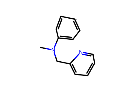 CN(Cc1ccccn1)c1cc[c]cc1